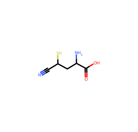 N#CC(S)CC(N)C(=O)O